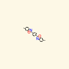 Cc1ccc2nc(-c3ccc(-c4nc5ccc(C)cc5o4)cc3)oc2c1